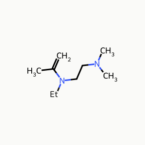 C=C(C)N(CC)CCN(C)C